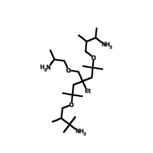 CCC(COCC(C)N)(CC(C)(C)OCC(C)C(C)N)CC(C)(C)OCC(C)C(C)(C)N